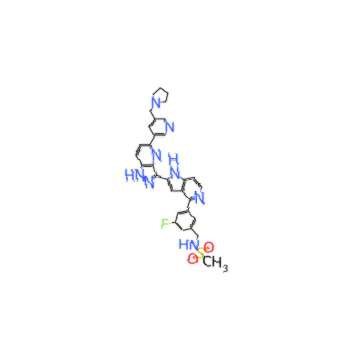 CS(=O)(=O)NCc1cc(F)cc(-c2nccc3[nH]c(-c4n[nH]c5ccc(-c6cncc(CN7CCCC7)c6)nc45)cc23)c1